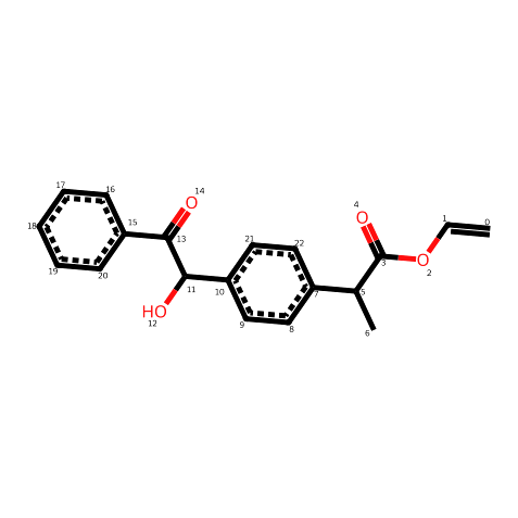 C=COC(=O)C(C)c1ccc(C(O)C(=O)c2ccccc2)cc1